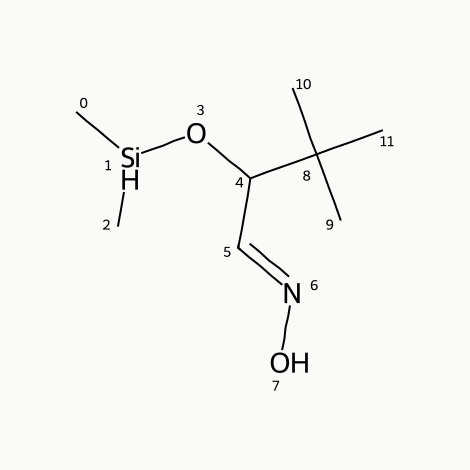 C[SiH](C)OC(C=NO)C(C)(C)C